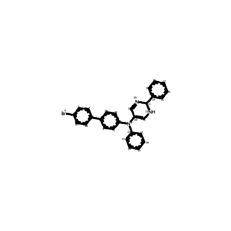 Brc1ccc(-c2ccc(N(C3=CNC(c4ccccc4)N=C3)c3ccccc3)cc2)cc1